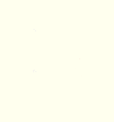 CCOC(=O)c1ccc2[nH]cc(-c3cccnc3)c2c1